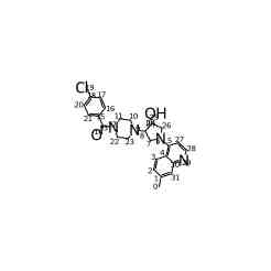 Cc1ccc2c(N3CC(N4CCN(C(=O)c5ccc(Cl)cc5)CC4)[C@H](O)C3)ccnc2c1